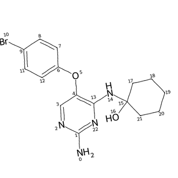 Nc1ncc(Oc2ccc(Br)cc2)c(NC2(O)CCCCC2)n1